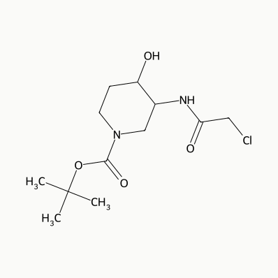 CC(C)(C)OC(=O)N1CCC(O)C(NC(=O)CCl)C1